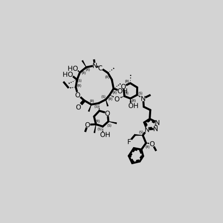 CC[C@H]1OC(=O)[C@H](C)[C@@H](C2C[C@@](C)(OC)[C@@H](O)[C@H](C)O2)[C@H](C)[C@@H](O[C@@H]2O[C@H](C)C[C@H](N(C)CCc3cn([C@H](CF)[C@H](OC)c4ccccc4)nn3)[C@H]2O)[C@](C)(O)C[C@@H](C)CN(C)[C@H](C)[C@@H](O)[C@]1(C)O